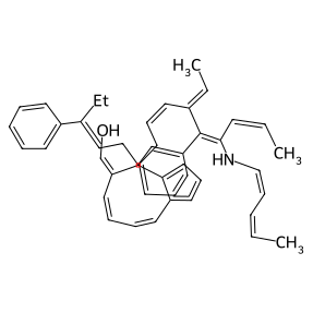 C/C=C\C=C/NC(/C=C\C)=C(C(/C=C\CC1(C/C=C(\CC)c2ccccc2)C2=CC=C=C2\C=C/C=C\C1=C\O)=C/C)\c1ccccc1